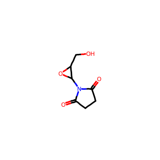 O=C1CCC(=O)N1C1OC1CO